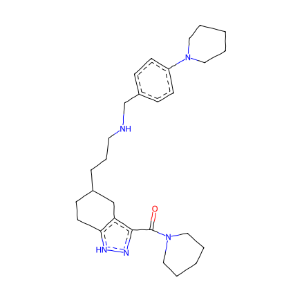 O=C(c1n[nH]c2c1CC(CCCNCc1ccc(N3CCCCC3)cc1)CC2)N1CCCCC1